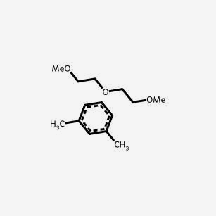 COCCOCCOC.Cc1cccc(C)c1